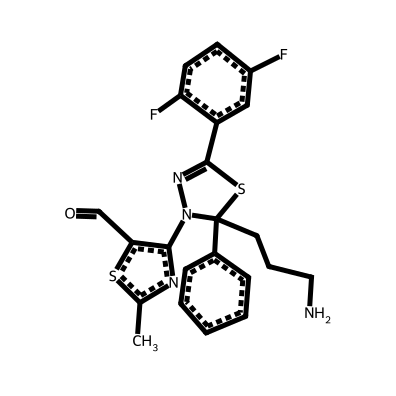 Cc1nc(N2N=C(c3cc(F)ccc3F)SC2(CCCN)c2ccccc2)c(C=O)s1